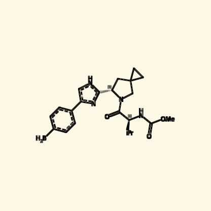 Bc1ccc(-c2c[nH]c([C@@H]3CC4(CC4)CN3C(=O)[C@@H](NC(=O)OC)C(C)C)n2)cc1